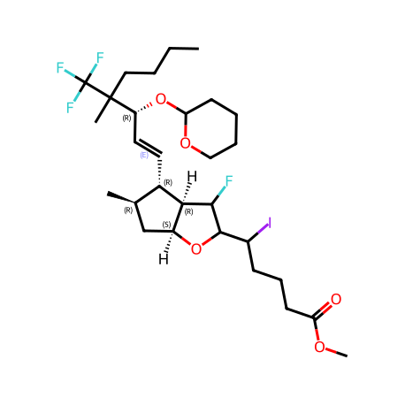 CCCCC(C)([C@@H](/C=C/[C@@H]1[C@H]2C(F)C(C(I)CCCC(=O)OC)O[C@H]2C[C@H]1C)OC1CCCCO1)C(F)(F)F